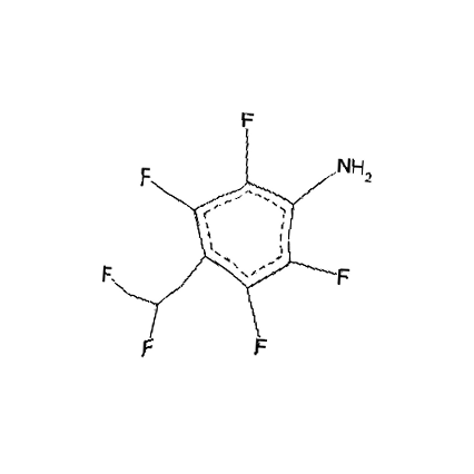 Nc1c(F)c(F)c(C(F)F)c(F)c1F